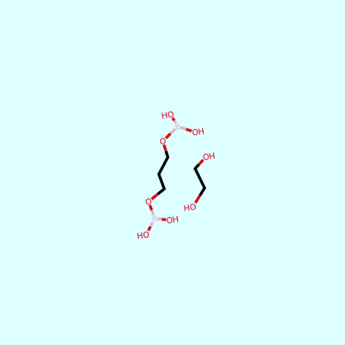 OB(O)OCCCOB(O)O.OCCO